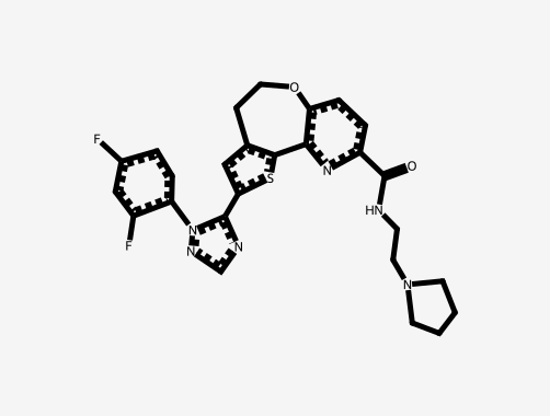 O=C(NCCN1CCCC1)c1ccc2c(n1)-c1sc(-c3ncnn3-c3ccc(F)cc3F)cc1CCO2